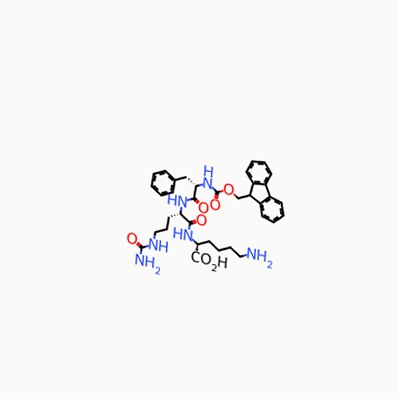 NCCCC[C@H](NC(=O)[C@H](CCCNC(N)=O)NC(=O)[C@H](Cc1ccccc1)NC(=O)OCC1c2ccccc2-c2ccccc21)C(=O)O